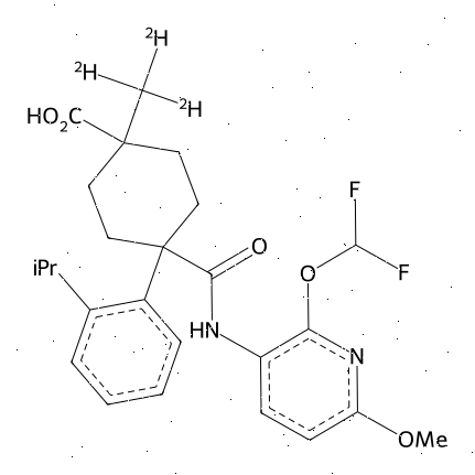 [2H]C([2H])([2H])C1(C(=O)O)CCC(C(=O)Nc2ccc(OC)nc2OC(F)F)(c2ccccc2C(C)C)CC1